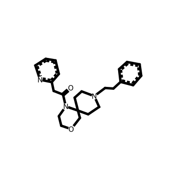 O=C(Cc1ccccn1)N1CCOCC12CCN(CCc1ccccc1)CC2